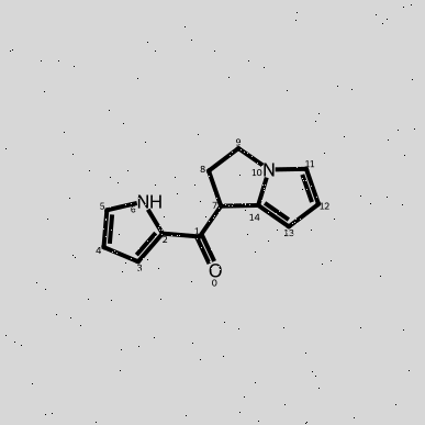 O=C(c1ccc[nH]1)C1CCn2cccc21